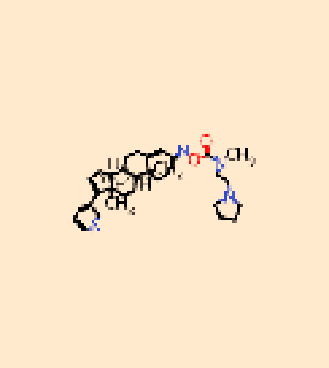 CN(CCN1CCCC1)C(=O)ON=C1C=C2CC[C@H]3[C@H](CC[C@]4(C)C(c5cccnc5)=CC[C@@H]34)[C@@]2(C)CC1